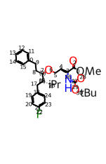 COC(=O)C(=CCO[C@H](CCc1ccccc1)[C@@H](Cc1ccc(F)cc1)C(C)C)NC(=O)OC(C)(C)C